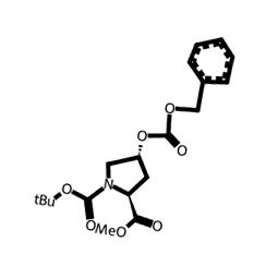 COC(=O)[C@@H]1C[C@@H](OC(=O)OCc2ccccc2)CN1C(=O)OC(C)(C)C